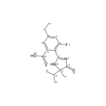 CCc1cc(F)c(C2=NC(=O)C(C)(C(C)C)N2)c(C(=O)O)c1